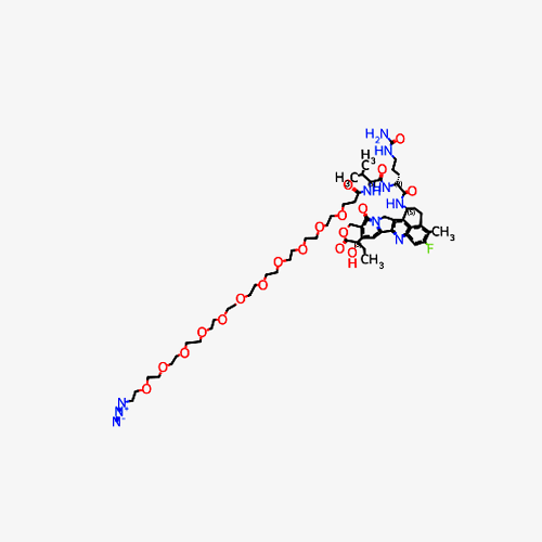 CC[C@@]1(O)C(=O)OCc2c1cc1n(c2=O)Cc2c-1nc1cc(F)c(C)c3c1c2[C@@H](NC(=O)[C@@H](CCCNC(N)=O)NC(=O)[C@@H](NC(=O)CCOCCOCCOCCOCCOCCOCCOCCOCCOCCOCCOCCN=[N+]=[N-])C(C)C)CC3